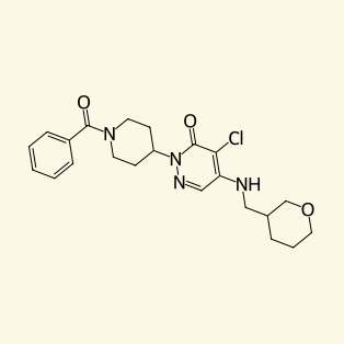 O=C(c1ccccc1)N1CCC(n2ncc(NCC3CCCOC3)c(Cl)c2=O)CC1